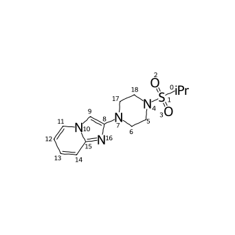 CC(C)S(=O)(=O)N1CCN(c2cn3ccccc3n2)CC1